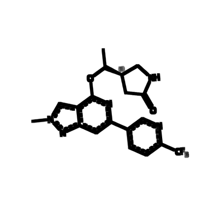 CC(Oc1nc(-c2ccc(C(F)(F)F)nc2)cc2nn(C)cc12)[C@H]1CNC(=O)C1